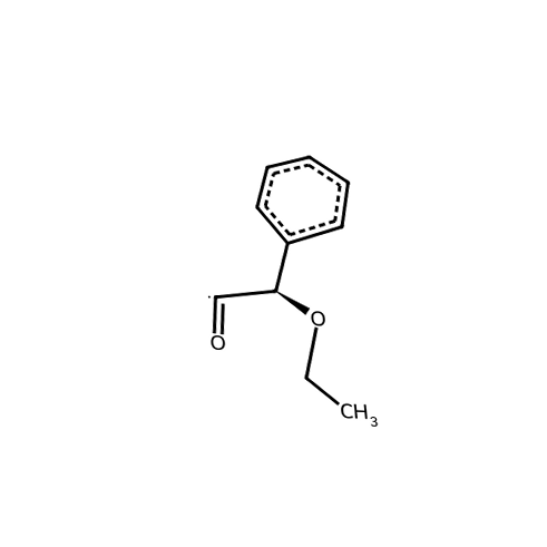 CCO[C@@H]([C]=O)c1ccccc1